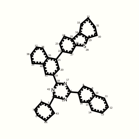 c1ccc(-c2nc(-c3ccc4ccccc4c3)nc(-c3cc(-c4ccc5c(c4)sc4ccccc45)c4ccccc4c3)n2)cc1